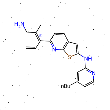 C=C/C(=C(/C)CN)c1ccc2cc(Nc3cc(CCCC)ccn3)sc2n1